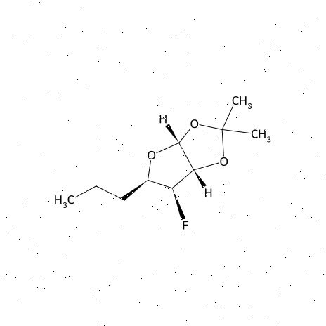 CCC[C@H]1O[C@@H]2OC(C)(C)O[C@@H]2[C@H]1F